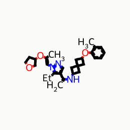 C=C(NC1CC2(C1)CC(Oc1ccccc1C)C2)c1cnn(/C=C(\C)OC2CCOC2)c1CC